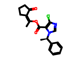 C/C(OC(=O)c1c(Cl)ncn1[C@H](C)c1ccccc1)=C1\CCCC1=O